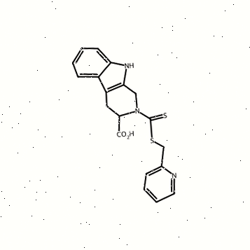 O=C(O)C1Cc2c([nH]c3ccccc23)CN1C(=S)SCc1ccccn1